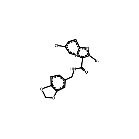 CCc1nc2ccc(Cl)cn2c1C(=O)NCc1ccc2c(c1)OCO2